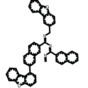 C=N/C(=N\C(=N/Cc1ccc2oc3ccccc3c2c1)c1ccc2ccc(-c3cccc4oc5ccccc5c34)cc2c1)c1ccc2ccccc2c1